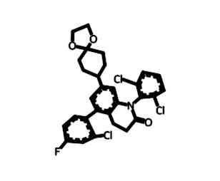 O=C1CCc2c(-c3ccc(F)cc3Cl)cc(C3CCC4(CC3)OCCO4)cc2N1c1c(Cl)cccc1Cl